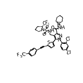 O=C(NN1CCCCC1)c1nn(-c2ccc(Cl)cc2Cl)c(-c2ccc(C#Cc3ccc(C(F)(F)F)cc3)s2)c1CNS(=O)(=O)N1CCCC1C(F)(F)F